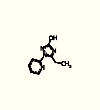 CCc1nc(O)nn1-c1ccccn1